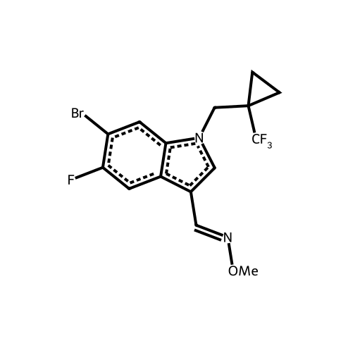 CO/N=C/c1cn(CC2(C(F)(F)F)CC2)c2cc(Br)c(F)cc12